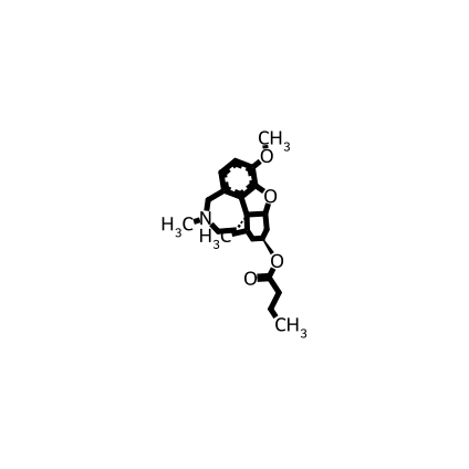 CCCC(=O)O[C@H]1CC(C)[C@@]23CCN(C)Cc4ccc(OC)c(c42)OC3C1